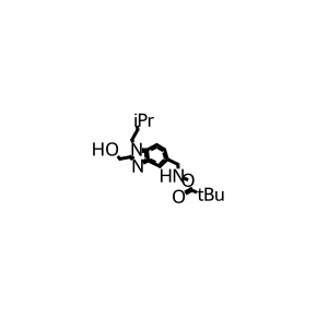 CC(C)CCn1c(CO)nc2cc(CNOC(=O)C(C)(C)C)ccc21